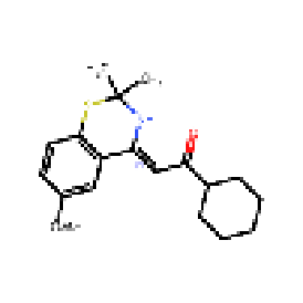 COc1ccc2c(c1)/C(=C/C(=O)C1CCCCC1)NC(C)(C)S2